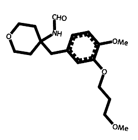 COCCCOc1cc(CC2(NC=O)CCOCC2)ccc1OC